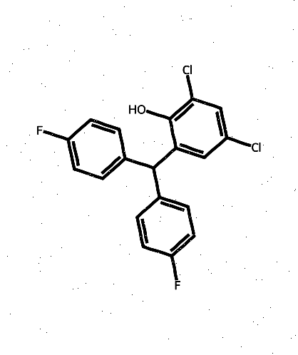 Oc1c(Cl)cc(Cl)cc1C(c1ccc(F)cc1)c1ccc(F)cc1